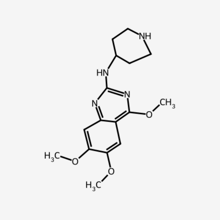 COc1cc2nc(NC3CCNCC3)nc(OC)c2cc1OC